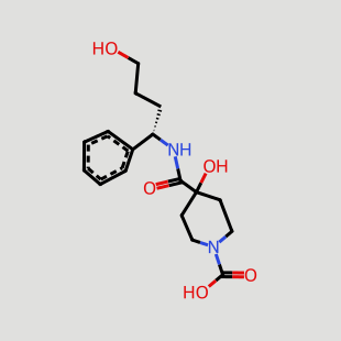 O=C(O)N1CCC(O)(C(=O)N[C@@H](CCCO)c2ccccc2)CC1